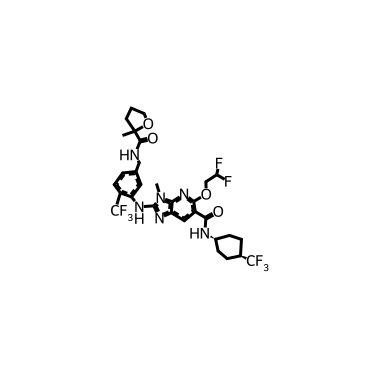 Cn1c(Nc2cc(CNC(=O)C3(C)CCCO3)ccc2C(F)(F)F)nc2cc(C(=O)N[C@H]3CC[C@H](C(F)(F)F)CC3)c(OCC(F)F)nc21